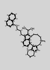 CN1CCCn2c(C(O)O)c(CCCOc3cccc4ccccc34)c3cccc(c32)-c2c(nn3c2OCCC3)C1